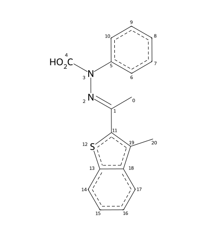 CC(=NN(C(=O)O)c1ccccc1)c1sc2ccccc2c1C